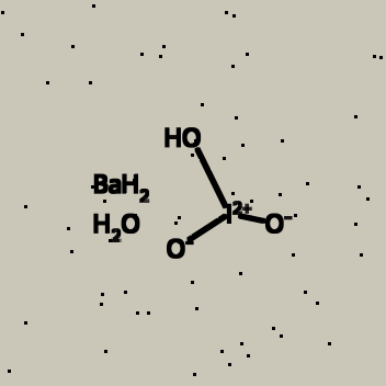 O.[BaH2].[O-][I+2]([O-])O